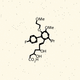 COCCOc1c(OC)cc(C(C)C)c(C=CC(O)CC(O)CC(=O)O)c1-c1ccc(F)cc1